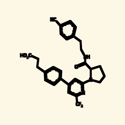 N#Cc1ccc(CCNC(=O)C2CCCN2c2cc(-c3ccc(CCC(=O)O)cc3)cc(C(F)(F)F)n2)cc1